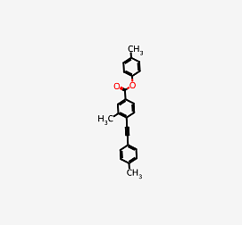 Cc1ccc(C#Cc2ccc(C(=O)Oc3ccc(C)cc3)cc2C)cc1